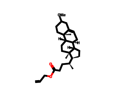 C=CCOC(=O)CC[C@@H](C)[C@H]1CC[C@H]2[C@@H]3CC=C4CC(OC)CC[C@]4(C)[C@H]3CC[C@]12C